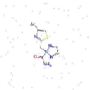 CC(=O)c1csc(C[N+]2(C(N)=O)N=[C]C=N2)n1